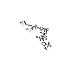 CC1(C)C(=O)N(c2ccc(C#N)c(C(F)(F)F)c2)C(=S)N1c1ccc(Cl)c(NC(=O)OCCOC(=O)[C@@H](N)CCCCN)c1